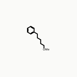 [CH2]OCCCCCc1ccccc1